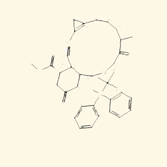 COC(=O)[C@@H]1CC(=O)CC2[C@@H](O[Si](c3ccccc3)(c3ccccc3)C(C)(C)C)NCC(=O)C(C)CCCC3=C(C3)/N=C\[C@@H]21